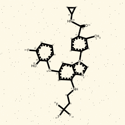 Cc1cc(-n2cnc3c(NCCC(F)(F)F)cc(Oc4cccc(F)c4O)cc32)ccc1C(=O)NC1CC1